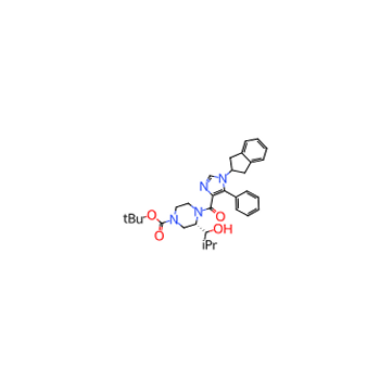 CC(C)C(O)[C@@H]1CN(C(=O)OC(C)(C)C)CCN1C(=O)c1ncn(C2Cc3ccccc3C2)c1-c1ccccc1